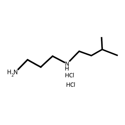 CC(C)CCNCCCN.Cl.Cl